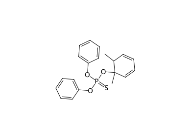 CC1C=CC=CC1(C)OP(=S)(Oc1ccccc1)Oc1ccccc1